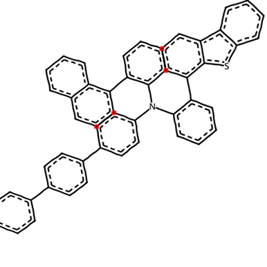 c1ccc(-c2ccc(-c3ccc(N(c4ccccc4-c4cccc5ccccc45)c4ccccc4-c4cccc5c4sc4ccccc45)cc3)cc2)cc1